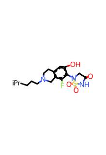 CC(C)CCCN1CCc2cc(O)c(N3CC(=O)NS3(=O)=O)c(F)c2C1